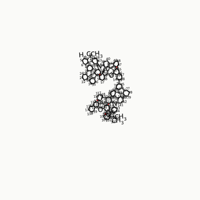 CC1(C)c2ccccc2-c2cc(N(c3ccc4c(c3)C3(c5ccccc5-c5ccccc53)c3ccccc3-4)c3ccc4c(c3)C3(c5ccccc5-4)c4ccc5ccccc5c4Oc4c3ccc3ccc(-c5ccc6c(c5)-c5ccccc5C65c6ccccc6-c6c(N(c7ccc8c(c7)-c7ccccc7C8(C)C)c7ccc8c(c7)C7(c9ccccc9-8)c8ccc9ccccc9c8Oc8c7ccc7ccccc87)cccc65)cc43)ccc21